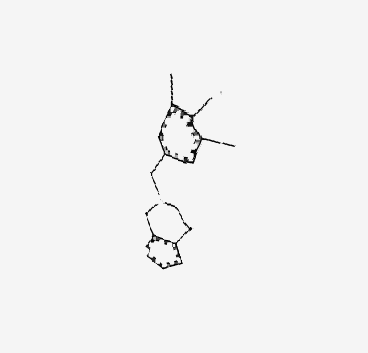 Cc1cc(CN2CCc3ccsc3C2)cc(C)c1O